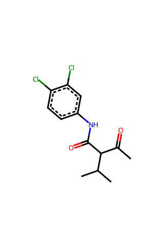 CC(=O)C(C(=O)Nc1ccc(Cl)c(Cl)c1)C(C)C